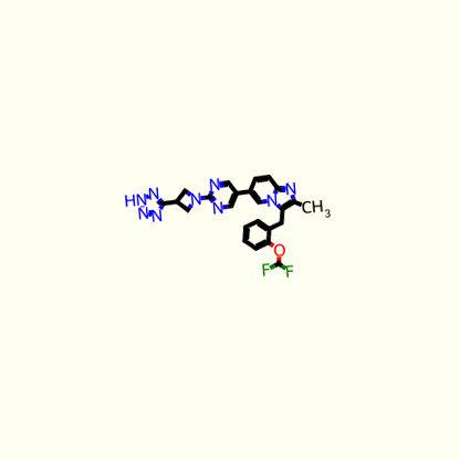 Cc1nc2ccc(-c3cnc(N4CC(c5nn[nH]n5)C4)nc3)cn2c1Cc1ccccc1OC(F)F